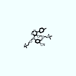 Cc1ccc(-c2ncnc(N(COCC[Si](C)(C)C)c3ccc(C#N)c(F)c3)c2OCOCC[Si](C)(C)C)cc1